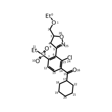 CCOCC1CC(c2c(S(=O)(=O)CC)ccc(C(=O)C3CCCCC3)c2Cl)=NO1